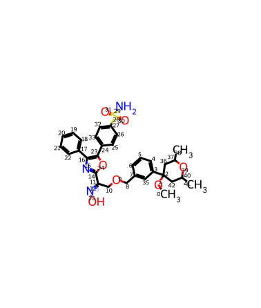 COC1(c2cccc(COC/C(=N\O)c3nc(-c4ccccc4)c(-c4ccc(S(N)(=O)=O)cc4)o3)c2)CC(C)OC(C)C1